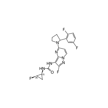 O=C(Nc1c(F)nn2ccc(N3CCCC3c3cc(F)ccc3F)nc12)N[C@H]1C[C@H]1F